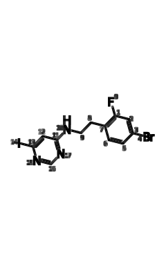 Fc1cc(Br)ccc1CCNc1cc(I)ncn1